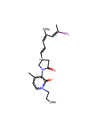 COCCn1ccc(C)c(N2C[C@@H](/C=C/C=C(\C=C(/C)P)OC)CC2=O)c1=O